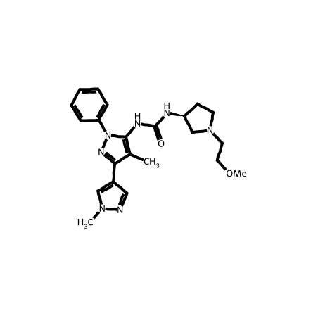 COCCN1CC[C@H](NC(=O)Nc2c(C)c(-c3cnn(C)c3)nn2-c2ccccc2)C1